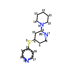 c1cc(SC2CC[N][C@H](N3CCCCC3)C2)ccn1